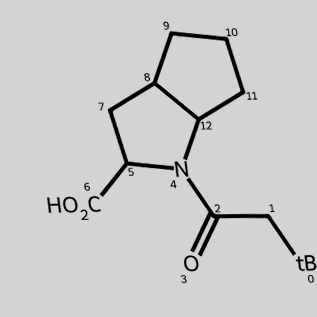 CC(C)(C)CC(=O)N1C(C(=O)O)CC2CCCC21